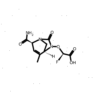 CC1=C[C@@H](C(N)=O)N2C[C@H]1N(O[C@H](F)C(=O)O)C2=O